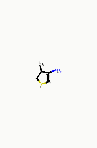 CC1CSC=C1N